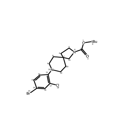 CC(C)(C)OC(=O)N1CCC2(CCN(c3ccc(Br)cc3Cl)CC2)C1